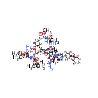 COC(=O)[C@@H]1Cc2ccc(OCCNC(=O)OC(C)(C)C)c(c2)-c2cc(ccc2OCCNC(=O)OC(C)(C)C)[C@H](N(C)C(=O)[C@H](CCN)NC(=O)c2c(C)nc(-c3ccc(OC4CCCCC4)cc3)nc2C)C(=O)N[C@@H](C)C(=O)N1